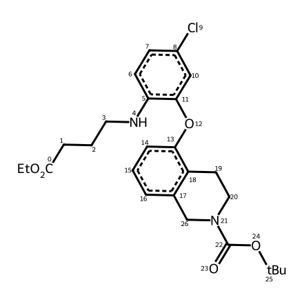 CCOC(=O)CCCNc1ccc(Cl)cc1Oc1cccc2c1CCN(C(=O)OC(C)(C)C)C2